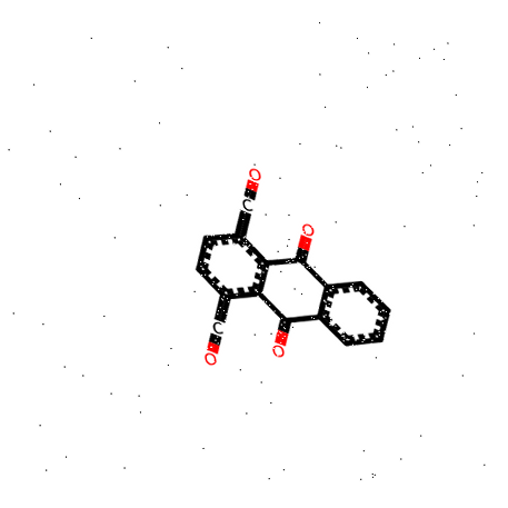 O=C=c1ccc(=C=O)c2c1C(=O)c1ccccc1C2=O